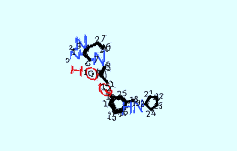 Cn1cnc2c1CN(C[C@H](O)COc1cccc(CNC3CCCC3)c1)CC2